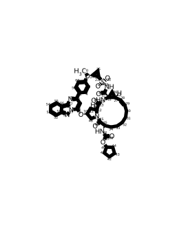 COc1ccc(-c2cc(O[C@@H]3C[C@H]4C(=O)N[C@]5(C(=O)NS(=O)(=O)C6CC6)C[C@H]5/C=C\CCCCC[C@H](NC(=O)OC5CCCC5)C(=O)N4C3)n3nc4ccccc4c3n2)cc1